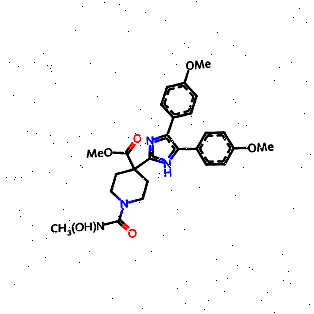 COC(=O)C1(c2nc(-c3ccc(OC)cc3)c(-c3ccc(OC)cc3)[nH]2)CCN(C(=O)N(C)O)CC1